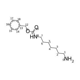 NCCCC[CH]CCNC(=O)OCc1ccccc1